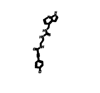 O=C(C#Cc1ccc(Cl)cc1)NCCNC(=S)NCc1ccnc2[nH]ccc12